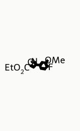 CCOC(=O)c1cc(-c2ccc(F)c(OC)c2)no1